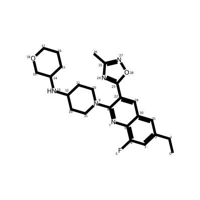 CCc1cc(F)c2nc(N3CCC(NC4CCCOC4)CC3)c(-c3nc(C)no3)cc2c1